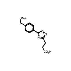 COCc1ccc(-c2noc(CCC(=O)O)n2)cc1